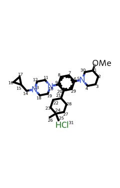 COC1CCCN(c2ccc(N3CCN(CC4CC4)CC3)c(C3CCC(C)(C)CC3)c2)C1.Cl